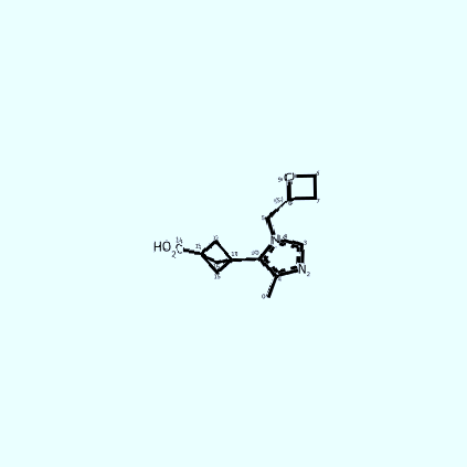 Cc1ncn(C[C@@H]2CCO2)c1C12CC(C(=O)O)(C1)C2